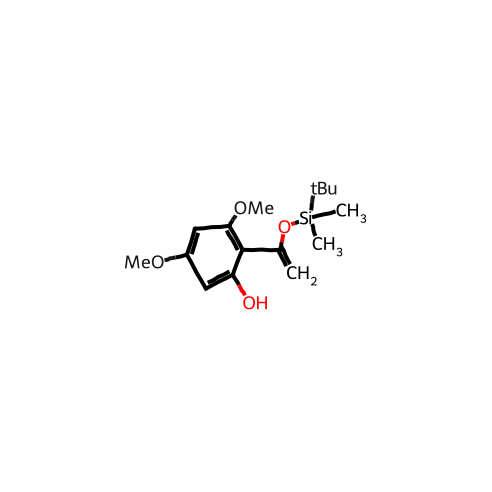 C=C(O[Si](C)(C)C(C)(C)C)c1c(O)cc(OC)cc1OC